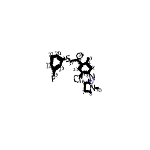 Cc1cc(/N=C2\CCCN2C)c(Cl)cc1C(=O)CSc1cccc(F)c1